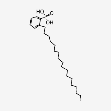 CCCCCCCCCCCCCCCCCCc1ccccc1P(=O)(O)O